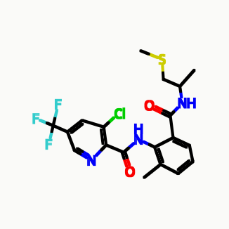 CSCC(C)NC(=O)c1cccc(C)c1NC(=O)c1ncc(C(F)(F)F)cc1Cl